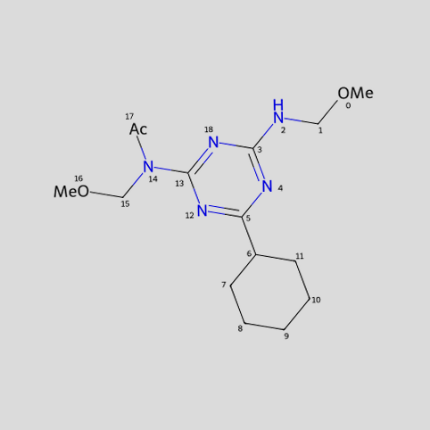 COCNc1nc(C2CCCCC2)nc(N(COC)C(C)=O)n1